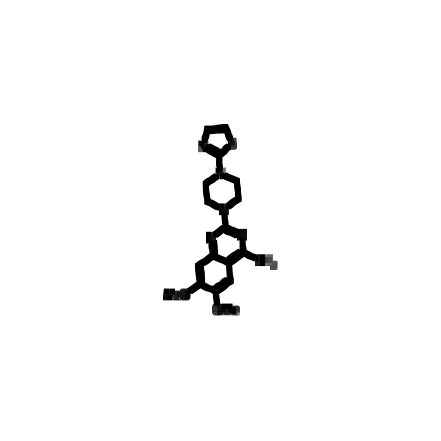 COc1cc2nc(N3CCN(c4nccs4)CC3)nc(N)c2cc1OC